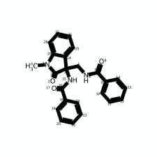 CN1C(=O)C(CNC(=O)c2ccccc2)(NC(=O)c2ccccc2)c2ccccc21